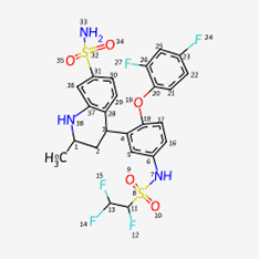 CC1CC(c2cc(NS(=O)(=O)C(F)C(F)F)ccc2Oc2ccc(F)cc2F)c2ccc(S(N)(=O)=O)cc2N1